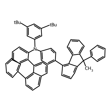 CC(C)(C)c1cc(N(c2ccc(-c3cccc4c3-c3ccccc3C4(C)c3ccccc3)cc2)c2ccccc2-c2cccc3cccc(-c4ccccc4)c23)cc(C(C)(C)C)c1